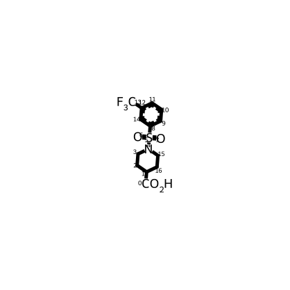 O=C(O)C1CCN(S(=O)(=O)c2cccc(C(F)(F)F)c2)CC1